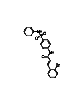 O=C(/C=C/c1ccccc1Br)Nc1ccc(S(=O)(=O)Nc2ccccc2)cc1